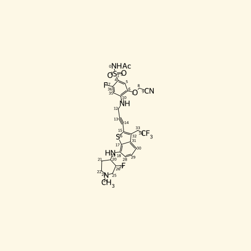 CC(=O)NS(=O)(=O)c1cc(OCC#N)c(NCC#Cc2sc3c(NC4CCN(C)CC4F)cccc3c2CC(F)(F)F)cc1F